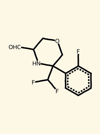 O=CC1COCC(c2ccccc2F)(C(F)F)N1